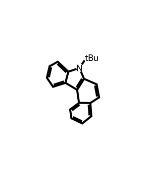 CC(C)(C)n1c2ccccc2c2c3ccccc3ccc21